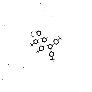 Cc1cc2c3c(c1)N(c1cccc4c1OCCCO4)c1ccc(C(C)(C)C)cc1B3c1cc(C(C)(C)C)ccc1N2c1cc(-c2ccc(C(C)(C)C)cc2)cc(-c2ccc(C(C)(C)C)cc2)c1